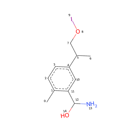 Cc1ccc(C(C)COI)cc1C(N)O